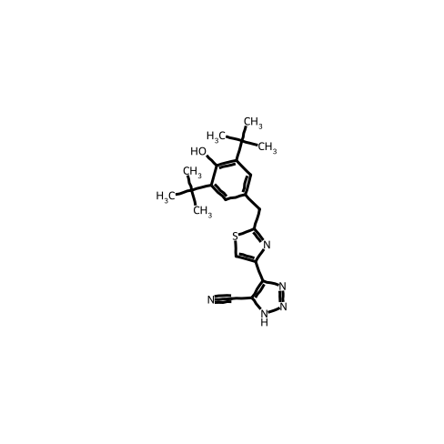 CC(C)(C)c1cc(Cc2nc(-c3nn[nH]c3C#N)cs2)cc(C(C)(C)C)c1O